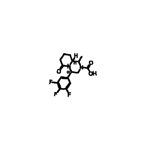 CC1[C@H]2CCCC(=O)N2[C@H](c2cc(F)c(F)c(F)c2)CN1C(=O)O